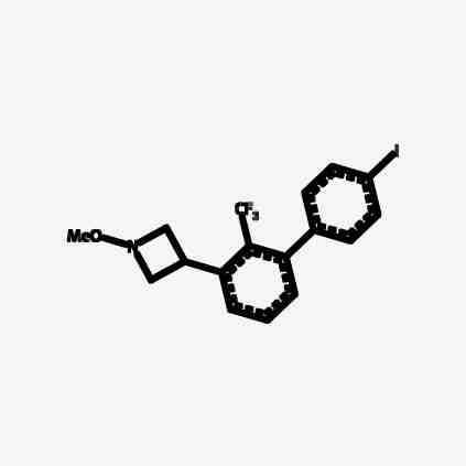 CON1CC(c2cccc(-c3ccc(I)cc3)c2C(F)(F)F)C1